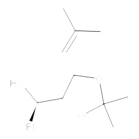 CC[C@@H](O)[C@H]1OC(C)(C)O[C@H]1C=C(C)C